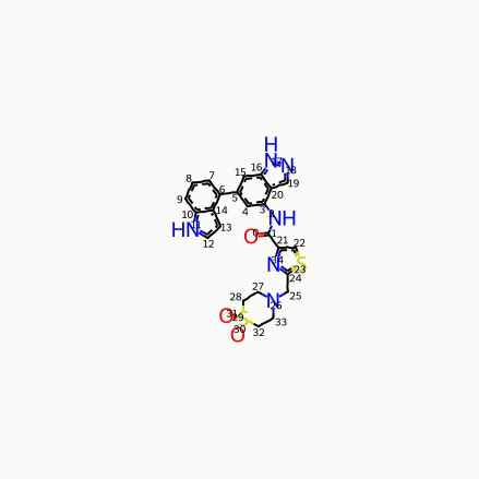 O=C(Nc1cc(-c2cccc3[nH]ccc23)cc2[nH]ncc12)c1csc(CN2CCS(=O)(=O)CC2)n1